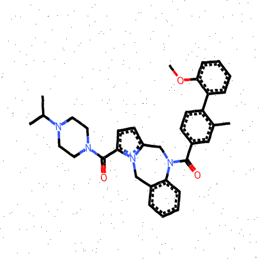 COc1ccccc1-c1ccc(C(=O)N2Cc3ccc(C(=O)N4CCN(C(C)C)CC4)n3Cc3ccccc32)cc1C